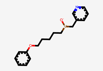 [O-][S+](CCCCCOc1cc[c]cc1)Cc1cccnc1